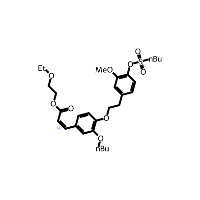 CCCCOc1cc(/C=C\C(=O)OCCOCC)ccc1OCCc1ccc(OS(=O)(=O)CCCC)c(OC)c1